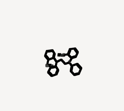 COc1ccccc1C(CCP(c1ccccc1)c1ccccc1OC)c1ccccc1